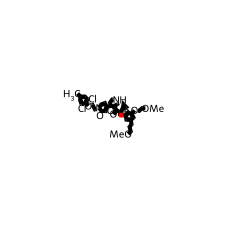 COCCCc1cc(CN(C(=O)C2CNCCC2(OC)c2ccn(CCOc3c(Cl)cc(C)cc3Cl)c(=O)c2)C2CC2)cc(OCCOC)c1